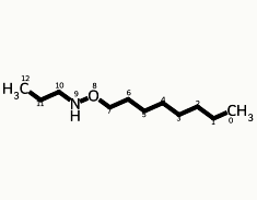 CCCCCCCCONCCC